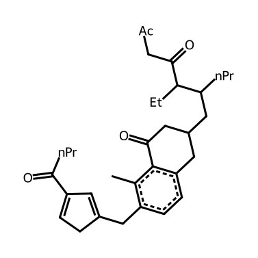 CCCC(=O)C1=CCC(Cc2ccc3c(c2C)C(=O)CC(CC(CCC)C(CC)C(=O)CC(C)=O)C3)=C1